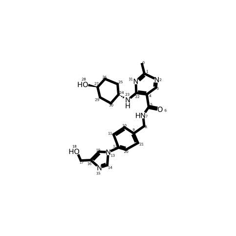 Cc1ncc(C(=O)NCc2ccc(-n3cnc(CO)c3)cc2)c(N[C@H]2CC[C@H](O)CC2)n1